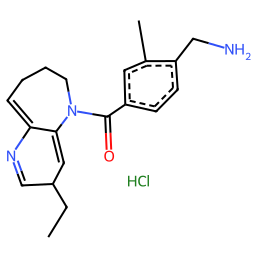 CCC1C=NC2=CCCCN(C(=O)c3ccc(CN)c(C)c3)C2=C1.Cl